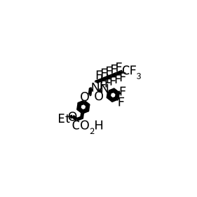 CCOC(Cc1ccc(OCCN(CC(F)(F)C(F)(F)C(F)(F)C(F)(F)C(F)(F)C(F)(F)F)C(=O)Nc2ccc(F)c(F)c2)cc1)C(=O)O